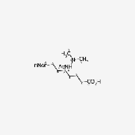 CC(=O)NN(C)C.CCCCCCCCCCCCCCCC(=O)O